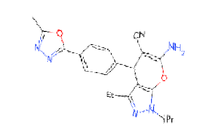 CCc1nn(C(C)C)c2c1C(c1ccc(-c3nnc(C)o3)cc1)C(C#N)=C(N)O2